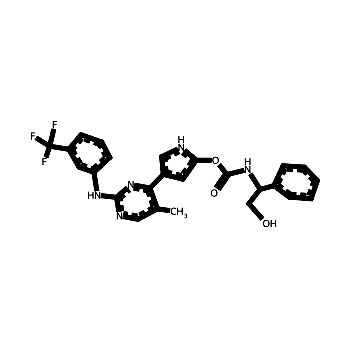 Cc1cnc(Nc2cccc(C(F)(F)F)c2)nc1-c1c[nH]c(OC(=O)NC(CO)c2ccccc2)c1